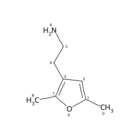 Cc1cc(CCN)c(C)o1